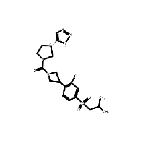 CC(C)CS(=O)(=O)c1ccc(C2CN(C(=O)N3CC[C@H](c4cnn[nH]4)C3)C2)c(Cl)c1